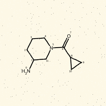 NC1CCCN(C(=O)C2CC2)C1